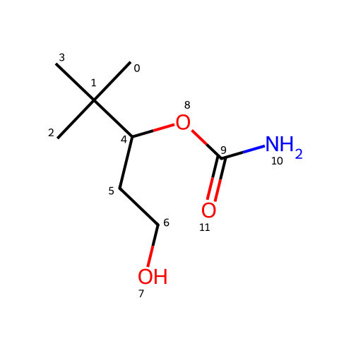 CC(C)(C)C(CCO)OC(N)=O